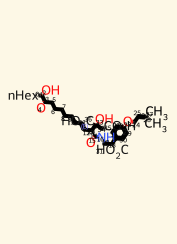 CCCCCCC(O)C(=O)CCCCCC/C=C/[C@H](C(=O)N[C@@H](Cc1ccc(OCC=C(C)C)cc1)C(=O)O)[C@@](O)(CC(=O)O)C(=O)O